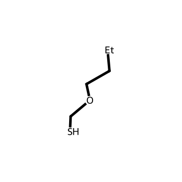 CCCCOCS